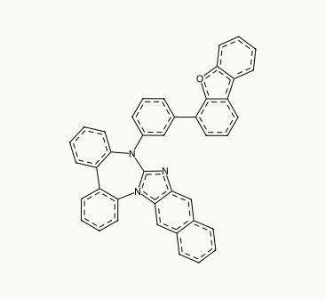 c1cc(-c2cccc3c2oc2ccccc23)cc(N2c3ccccc3-c3ccccc3-n3c2nc2cc4ccccc4cc23)c1